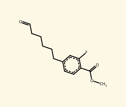 COC(=O)c1ccc(CCCCCC=O)cc1F